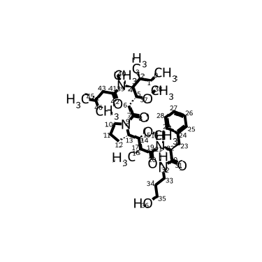 CC[C@H](C)[C@@H]([C@@H](CC(=O)N1CCC[C@H]1[C@H](OC)[C@@H](C)C(=O)N[C@@H](Cc1ccccc1)C(=O)NCCCO)OC)N(C)C(=O)CC(C)C